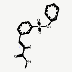 CNC(=O)/C(F)=C/c1cccc(S(=O)(=O)Nc2ccccc2)c1